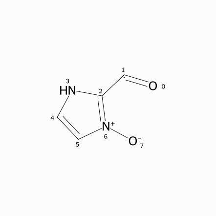 O=[C]c1[nH]cc[n+]1[O-]